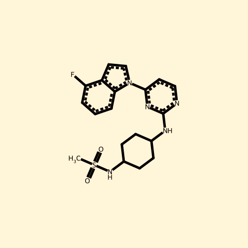 CS(=O)(=O)NC1CCC(Nc2nccc(-n3ccc4c(F)cccc43)n2)CC1